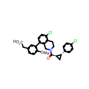 COc1ccc(CC(=O)O)cc1-c1ccc(Cl)c2c1CN(C(=O)[C@@H]1C[C@H]1c1ccc(Cl)cc1)CC2